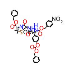 COC12SC(C)(C)[C@H](C(=O)OCc3ccccc3)N1C(=O)[C@H]2NC(=O)C(NC(=O)OCc1ccc([N+](=O)[O-])cc1)c1ccc(OC(=O)OCc2ccccc2)cc1